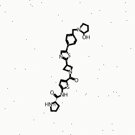 O=C(Nc1ccc(C(=O)N2CC(c3ncc(-c4ccc(CN5CCCC5O)cc4)s3)C2)s1)[C@@H]1CCCN1